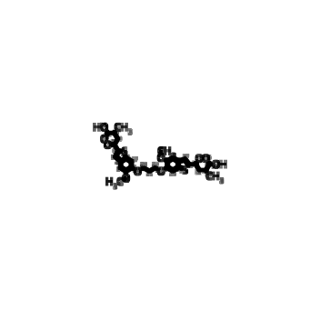 COc1cc2cc(C(=O)CC(C)C(=O)O)sc2cc1OCCCOc1cc2sc(C(=O)CC(C)C(=O)O)cc2cc1OC